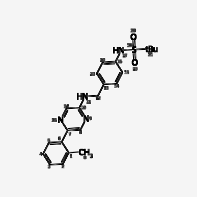 Cc1ccccc1-c1cnc(NCc2ccc(NS(=O)(=O)C(C)(C)C)cc2)cn1